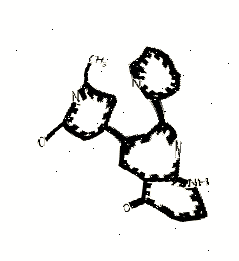 Cc1cc(-c2cc3c(=O)cc[nH]c3nc2-c2ccccn2)cc(Cl)n1